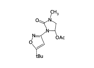 CC(=O)OC1CN(C)C(=O)N1c1cc(C(C)(C)C)on1